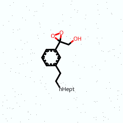 CCCCCCCCCc1cccc(C2(CO)OO2)c1